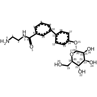 NCCNC(=O)c1cccc(-c2ccc(O[C@H]3O[C@H](CO)[C@@H](O)[C@H](O)[C@@H]3O)cc2)c1